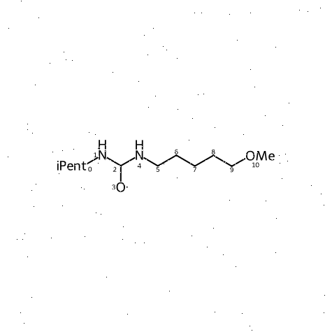 CCCC(C)NC([O])NCCCCCOC